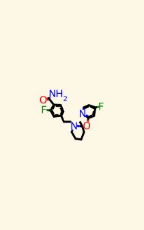 CC1(Oc2cc(F)ccn2)CCCCN1CCc1ccc(C(N)=O)c(F)c1